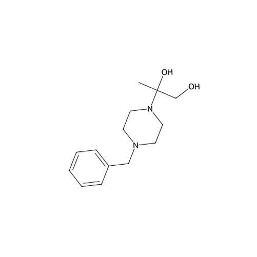 CC(O)(CO)N1CCN(Cc2ccccc2)CC1